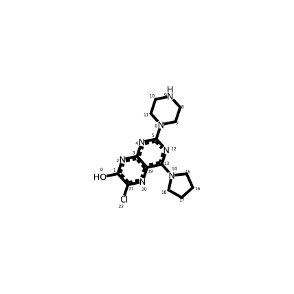 Oc1nc2nc(N3CCNCC3)nc(N3CCCC3)c2nc1Cl